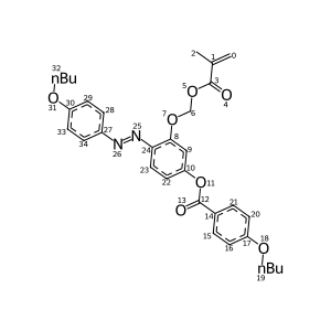 C=C(C)C(=O)OCOc1cc(OC(=O)c2ccc(OCCCC)cc2)ccc1N=Nc1ccc(OCCCC)cc1